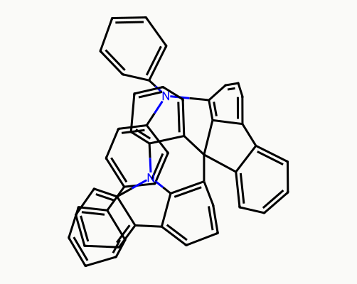 c1ccc(-c2ccc(N(c3ccccc3)c3cccc4c3C3(c5ccccc5-4)c4ccccc4-n4c5ccccc5c5cccc3c54)cc2)cc1